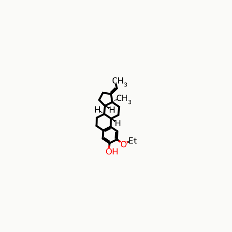 CC=C1CC[C@H]2[C@@H]3CCc4cc(O)c(OCC)cc4[C@H]3CC[C@]12C